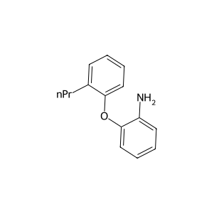 CCCc1ccccc1Oc1ccccc1N